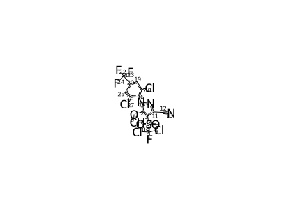 COc1c(S(=O)(=O)C(F)(Cl)Cl)c(C#N)nn1-c1c(Cl)cc(C(F)(F)F)cc1Cl